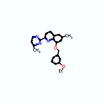 CCOc1cccc(COc2cc(C)cc3ccc(-c4nccc(C)n4)nc23)c1